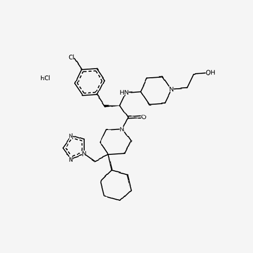 Cl.O=C([C@@H](Cc1ccc(Cl)cc1)NC1CCN(CCO)CC1)N1CCC(Cn2cncn2)(C2CCCCC2)CC1